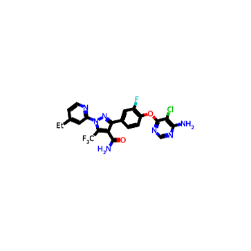 CCc1ccnc(-n2nc(-c3ccc(Oc4ncnc(N)c4Cl)c(F)c3)c(C(N)=O)c2C(F)(F)F)c1